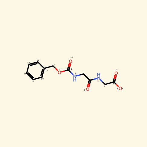 [O]C(=O)CNC(=O)CNC(=O)OCc1ccccc1